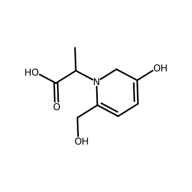 CC(C(=O)O)N1CC(O)=CC=C1CO